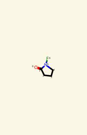 O=C1CCCN1F